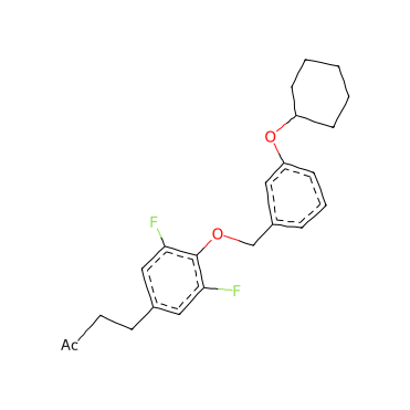 CC(=O)CCc1cc(F)c(OCc2cccc(OC3CCCCC3)c2)c(F)c1